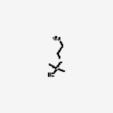 CC(C)(C)CCO[Si](C)(C)O